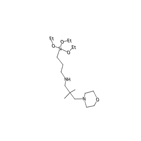 CCO[Si](CCCNCC(C)(C)CN1CCOCC1)(OCC)OCC